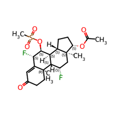 CC(=O)O[C@H]1CC[C@H]2[C@@H]3[C@H](OS(C)(=O)=O)[C@@H](F)C4=CC(=O)CC[C@]4(C)[C@H]3[C@@H](F)C[C@]12C